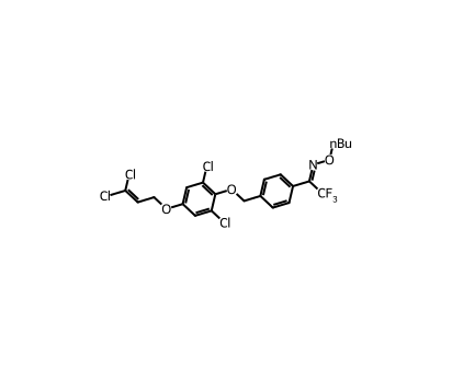 CCCCON=C(c1ccc(COc2c(Cl)cc(OCC=C(Cl)Cl)cc2Cl)cc1)C(F)(F)F